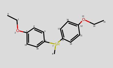 CCOc1ccc([SH](C)c2ccc(OCC)cc2)cc1